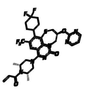 C=CC(=O)N1[C@H](C)CN(c2nc(=O)n3c4c(c(C5CCC(F)(F)CC5)c(C(F)(F)F)cc24)SC[C@@H](Oc2ncccn2)C3)C[C@@H]1C